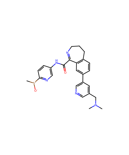 CN(C)Cc1cncc(-c2ccc3c(c2)C(C(=O)Nc2ccc([S+](C)[O-])nc2)=NCCC3)c1